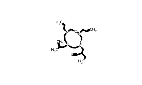 C=CCN1CCN(CC=C)CCN(CC(C#N)CC)CCN(CC(=C)C)CC1